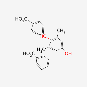 Cc1cc(O)cc(C)c1O.O=C(O)c1ccccc1.O=C(O)c1ccccc1